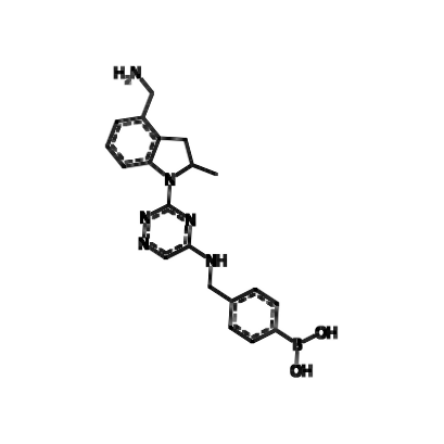 CC1Cc2c(CN)cccc2N1c1nncc(NCc2ccc(B(O)O)cc2)n1